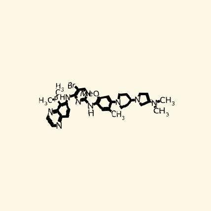 COc1cc(N2CCC(N3CC[C@H](N(C)C)C3)CC2)c(C)cc1Nc1ncc(Br)c(Nc2ccc3nccnc3c2P(C)C)n1